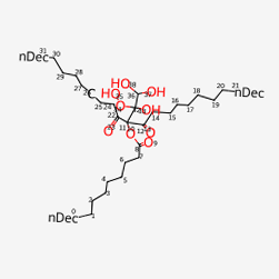 CCCCCCCCCCCCCCCCCC(=O)OC(C(=O)CCCCCCCCCCCCCCCCC)(C(=O)CCCCCCCCCCCCCCCCC)C(O)(OO)C(O)O